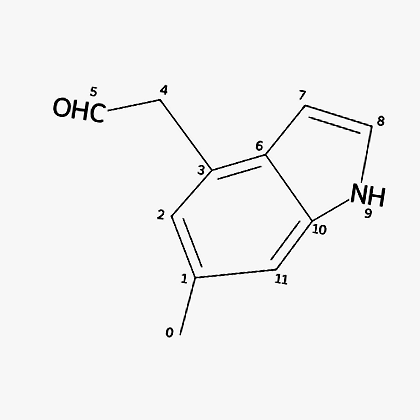 Cc1cc(CC=O)c2cc[nH]c2c1